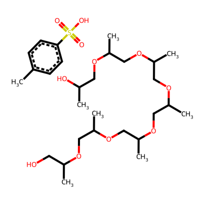 CC(O)COC(C)COC(C)COC(C)COC(C)COC(C)COC(C)CO.Cc1ccc(S(=O)(=O)O)cc1